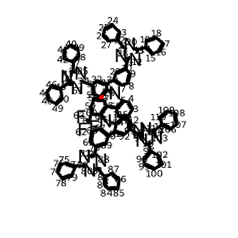 N#Cc1ccc(-n2c3ccc(-c4nc(-c5ccccc5)nc(-c5ccccc5)n4)cc3c3cc(-c4nc(-c5ccccc5)nc(-c5ccccc5)n4)ccc32)c(-c2cccc(C(F)(F)F)c2-n2c3ccc(-c4nc(-c5ccccc5)nc(-c5ccccc5)n4)cc3c3cc(-c4nc(-c5ccccc5)nc(-c5ccccc5)n4)ccc32)c1